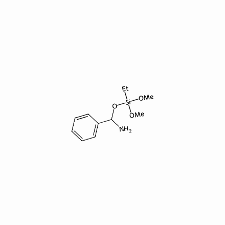 CC[Si](OC)(OC)OC(N)c1ccccc1